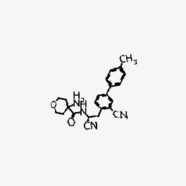 Cc1ccc(-c2ccc(C[C@@H](C#N)NC(=O)C3(N)CCOCC3)c(C#N)c2)cc1